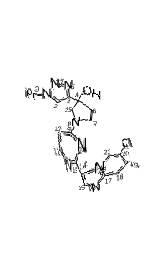 CC(C)n1cc(C2(O)CCN(c3ccnc(-c4cnc5ccc(Cl)cn45)n3)C2)nn1